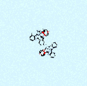 Cc1ccccc1[C](=O)[Ge]([C](=O)c1ccccc1C)([C](=O)c1ccccc1C)[C](=O)c1ccccc1C.O=[C](c1ccccc1)[Ge]([C](=O)c1ccccc1)([C](=O)c1ccccc1)[C](=O)c1ccccc1